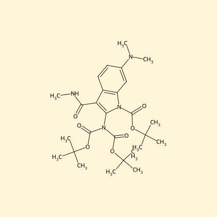 CNC(=O)c1c(N(C(=O)OC(C)(C)C)C(=O)OC(C)(C)C)n(C(=O)OC(C)(C)C)c2cc(N(C)C)ccc12